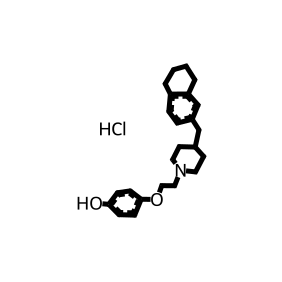 Cl.Oc1ccc(OCCN2CCC(Cc3ccc4c(c3)CCCC4)CC2)cc1